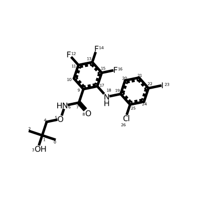 CC(C)(O)CONC(=O)c1cc(F)c(F)c(F)c1Nc1ccc(I)cc1Cl